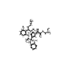 CN1c2ccccc2NC1(C(=O)Nc1cccc(F)c1N(CCCl)CCCl)n1ccc(NC(=O)CC[S+](C)C)c1.[Cl-]